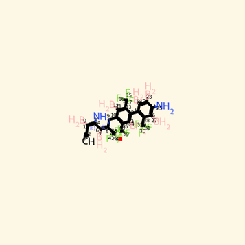 B/C(C#C)=C(N)/C(B)=C(\Cc1c(B)c(C(F)(F)F)c(-c2c(B)c(B)c(N)c(B)c2C(F)(F)F)c(B)c1C(F)(F)F)C(F)(F)F